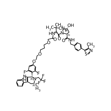 Cc1ncsc1-c1ccc(CNC(=O)[C@@H]2C[C@@H](O)CN2C(=O)[C@@H](NC(=O)COCCCOCCOc2cc(F)c([C@@H]3c4[nH]c5ccccc5c4C[C@@H](C)N3CC(F)(F)F)c(F)c2)C(C)(C)C)cc1